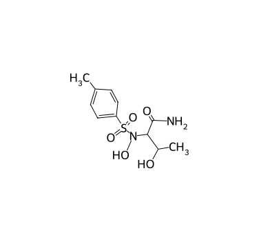 Cc1ccc(S(=O)(=O)N(O)C(C(N)=O)C(C)O)cc1